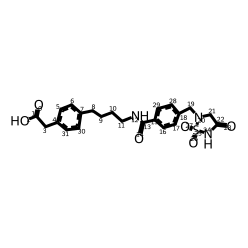 O=C(O)Cc1ccc(CCCCNC(=O)c2ccc(CN3CC(=O)NS3(=O)=O)cc2)cc1